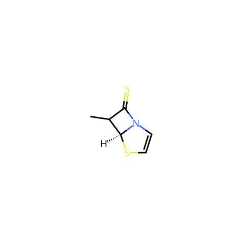 CC1C(=S)N2C=CS[C@@H]12